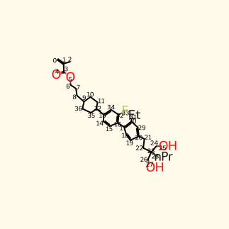 C=C(C)C(=O)OCCCC1CCC(c2ccc(-c3ccc(CCC(CO)(CO)CCC)cc3CC)c(F)c2)CC1